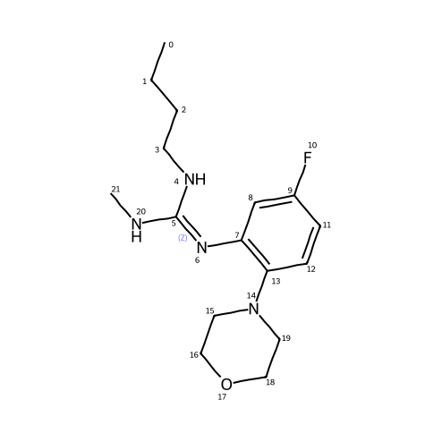 CCCCN/C(=N\c1cc(F)ccc1N1CCOCC1)NC